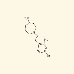 CCc1ccc(CCN2CCCC(N)CC2)c(C(F)(F)F)c1